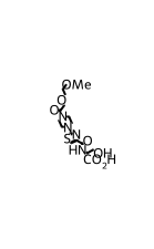 COCCOCC(=O)N1CCN(c2nc(C(=O)N[C@@H](CO)C(=O)O)cs2)CC1